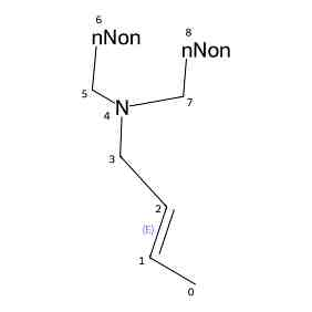 C/C=C/CN(CCCCCCCCCC)CCCCCCCCCC